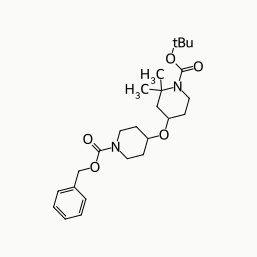 CC(C)(C)OC(=O)N1CCC(OC2CCN(C(=O)OCc3ccccc3)CC2)CC1(C)C